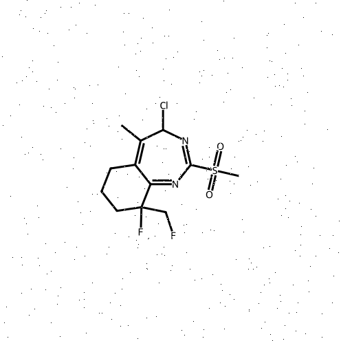 CC1=C2CCCC(F)(CF)C2=NC(S(C)(=O)=O)=NC1Cl